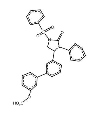 O=C(O)Oc1cccc(-c2cccc(C3CN(S(=O)(=O)c4ccccc4)C(=O)N3c3ccccc3)c2)c1